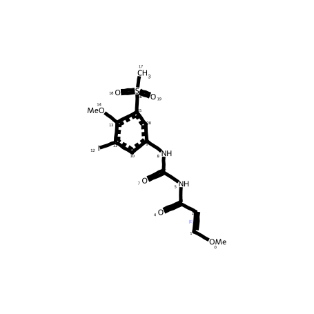 CO/C=C/C(=O)NC(=O)Nc1cc(I)c(OC)c(S(C)(=O)=O)c1